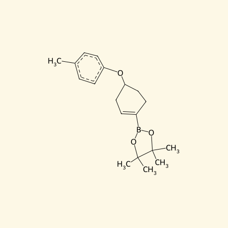 Cc1ccc(OC2CC=C(B3OC(C)(C)C(C)(C)O3)CC2)cc1